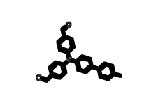 Cc1ccc(-c2ccc(N(c3ccc(C=O)cc3)c3ccc(C=O)cc3)cc2)cc1